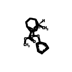 COC(=O)C1=C[C@H](C)C2CCC1N(C(=O)Oc1ccccc1)C2